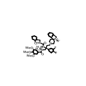 COc1cc(C(=O)N(C)CC(CCN2CCC3(CC2)c2ccccc2C[S+]3[O-])(c2ccc(F)c(F)c2)N(C)C(=O)NCc2ccccc2Cl)cc(OC)c1OC